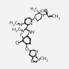 C=CC(=O)N1CCN(c2ccc(N=C)c(/C(=N\C)Nc3ccc(Oc4cnc5c(c4)ncn5C)c(Cl)c3F)n2)CC1(C)C